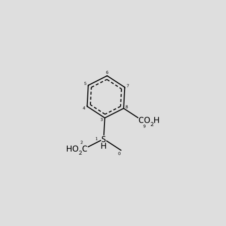 C[SH](C(=O)O)c1ccccc1C(=O)O